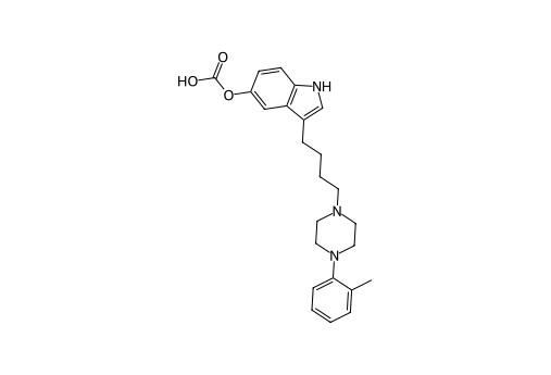 Cc1ccccc1N1CCN(CCCCc2c[nH]c3ccc(OC(=O)O)cc23)CC1